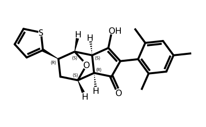 Cc1cc(C)c(C2=C(O)[C@@H]3[C@@H]4O[C@@H](C[C@H]4c4cccs4)[C@@H]3C2=O)c(C)c1